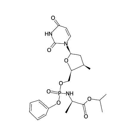 CC(C)OC(=O)[C@@H](C)NP(=O)(OC[C@H]1O[C@@H](n2ccc(=O)[nH]c2=O)C[C@H]1C)Oc1ccccc1